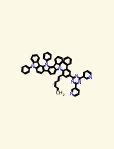 C=C/C=C\C=C\c1cc(-c2nc(-c3cccnc3)nc(-c3cccnc3)n2)cc(-c2ccccc2)c1-n1c2ccccc2c2c1ccc1c3ccc4c(c5ccccc5n4-c4ccccc4)c3n(-c3ccccc3)c12